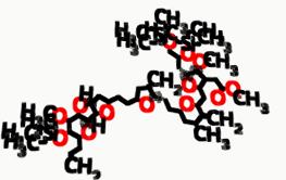 C=CCC1O[C@@H]2C(O[C@@H]3CC(CCC4CC(=C)[C@H](CCC5CC(C)C(=C)C(CC6O[C@H](CC(CO[Si](CC)(CC)CC)O[Si](CC)(CC)CC)[C@H](OC)C6CC(=O)OC)O5)O4)OC23)C(OC)C1O[Si](CC)(CC)CC